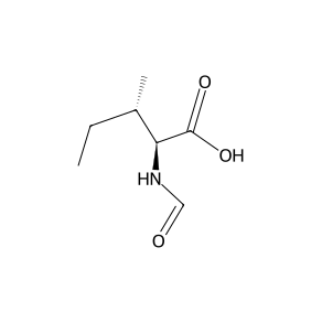 CC[C@H](C)[C@H](NC=O)C(=O)O